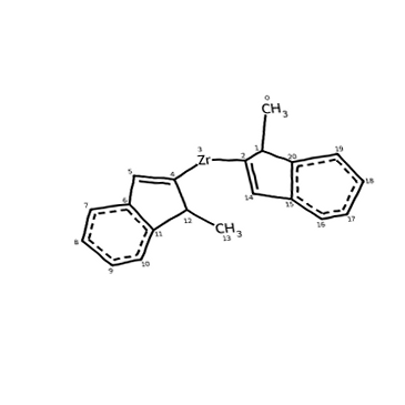 CC1[C]([Zr][C]2=Cc3ccccc3C2C)=Cc2ccccc21